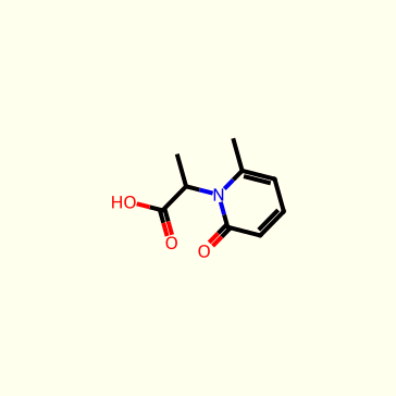 Cc1cccc(=O)n1C(C)C(=O)O